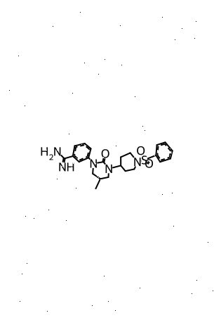 CC1CN(c2cccc(C(=N)N)c2)C(=O)N(C2CCN(S(=O)(=O)c3ccccc3)CC2)C1